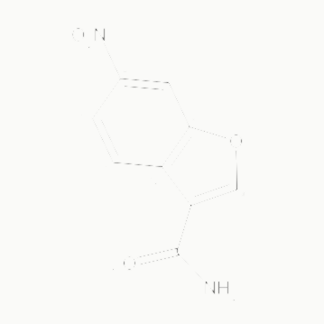 NC(=O)c1coc2cc([N+](=O)[O-])ccc12